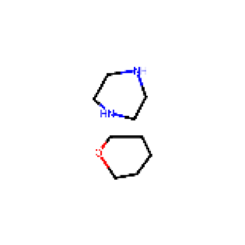 C1CCOCC1.C1CNCCN1